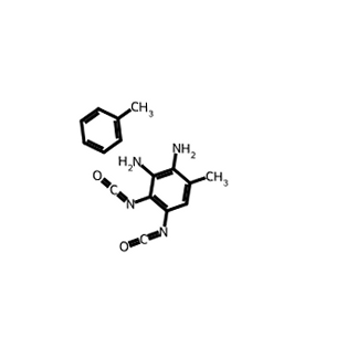 Cc1cc(N=C=O)c(N=C=O)c(N)c1N.Cc1ccccc1